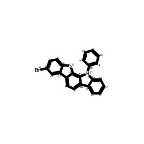 Brc1ccc2sc3c(ccc4c5ccccc5n(-c5ccccc5)c43)c2c1